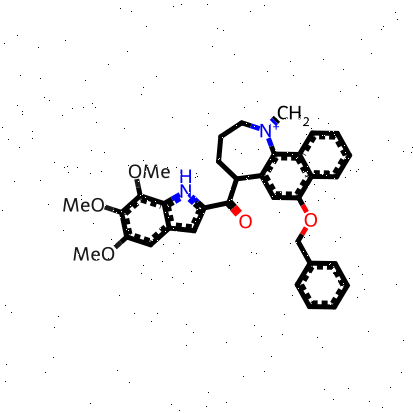 C=[N+]1CCCC(C(=O)c2cc3cc(OC)c(OC)c(OC)c3[nH]2)c2cc(OCc3ccccc3)c3ccccc3c21